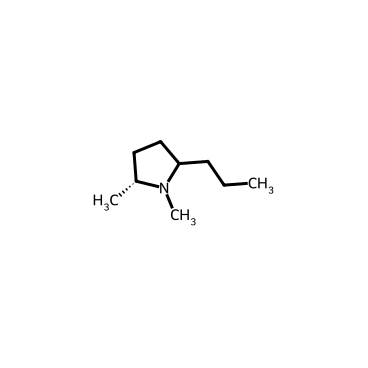 CCCC1CC[C@@H](C)N1C